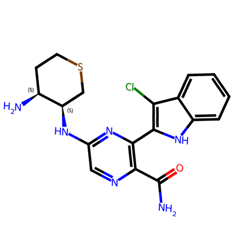 NC(=O)c1ncc(N[C@@H]2CSCC[C@@H]2N)nc1-c1[nH]c2ccccc2c1Cl